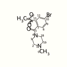 CN1CCN(C(=O)c2ccc(Br)cc2S(C)(=O)=O)CC1